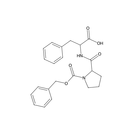 O=C(O)C(Cc1ccccc1)NC(=O)C1CCCN1C(=O)OCc1ccccc1